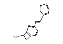 NC1Cc2ccc(/C=C/c3ccccc3)cc21